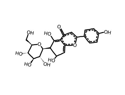 O=c1cc(-c2ccc(O)cc2)oc2c1=C(O)C([C@@H]1O[C@H](CO)[C@@H](O)[C@H](O)[C@H]1O)C(O)C=2